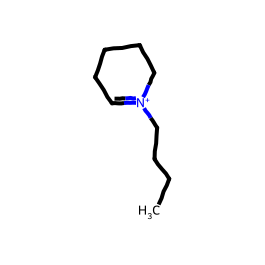 CCCC[N+]1=CCCCC1